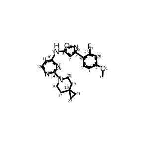 COc1ccc(-c2cc(Nc3ccnc(N4CCC5(CC4)CC5)n3)on2)c(F)c1